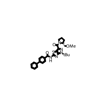 COC[C@H]1CCCN1C(=O)c1nn(C(C)(C)C)c2nc(NC(=O)c3ccc(-c4ccccc4)cc3)sc12